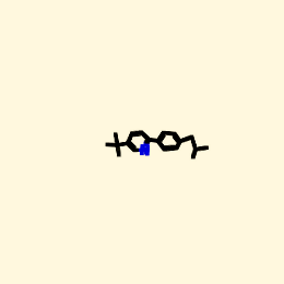 CC(C)Cc1ccc(-c2ccc(C(C)(C)C)cn2)cc1